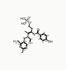 C/C(=C(\CCOP(=O)(O)O)SC(=O)c1ccc(O)cc1)N(C=O)Cc1cnc(C)nc1N